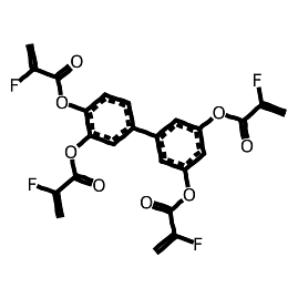 C=C(F)C(=O)Oc1cc(OC(=O)C(=C)F)cc(-c2ccc(OC(=O)C(=C)F)c(OC(=O)C(=C)F)c2)c1